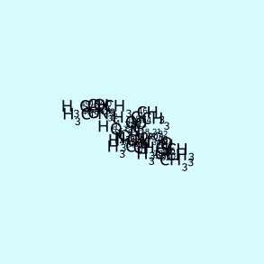 CC(CCCOc1cc(N(C(=O)OC(C)(C)C)c2cc([C@H]3CC[C@@H](O[Si](C)(C)C(C)(C)C)C3)nn2C(C)(C)C)ccn1)NC(=O)OC(C)(C)C